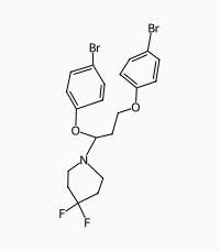 FC1(F)CCN(C(CCOc2ccc(Br)cc2)Oc2ccc(Br)cc2)CC1